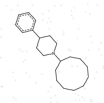 c1ccc(C2CCN(C3CCCCCCCCC3)CC2)cc1